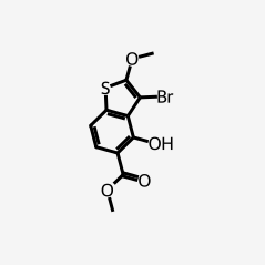 COC(=O)c1ccc2sc(OC)c(Br)c2c1O